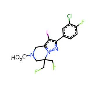 O=C(O)N1Cc2c(I)c(-c3ccc(F)c(Cl)c3)nn2C(CF)(CF)C1